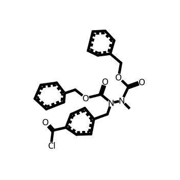 CN(C(=O)OCc1ccccc1)N(Cc1ccc(C(=O)Cl)cc1)C(=O)OCc1ccccc1